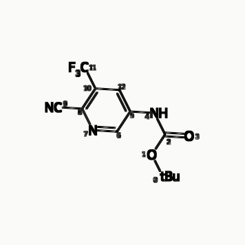 CC(C)(C)OC(=O)Nc1cnc(C#N)c(C(F)(F)F)c1